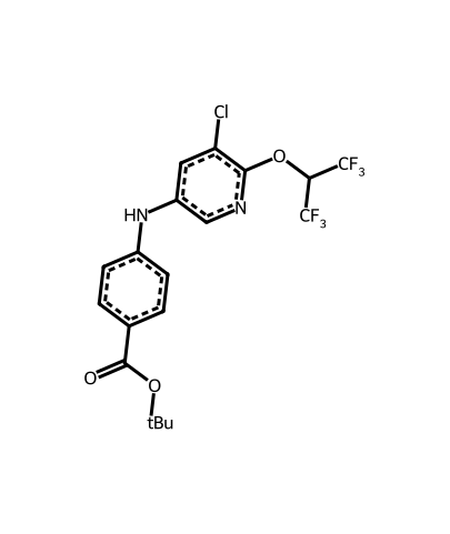 CC(C)(C)OC(=O)c1ccc(Nc2cnc(OC(C(F)(F)F)C(F)(F)F)c(Cl)c2)cc1